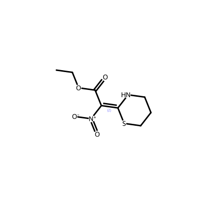 CCOC(=O)/C(=C1\NCCCS1)[N+](=O)[O-]